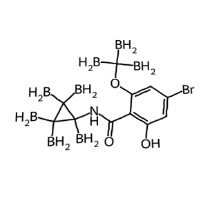 BC(B)(B)Oc1cc(Br)cc(O)c1C(=O)NC1(B)C(B)(B)C1(B)B